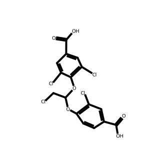 O=C(O)c1ccc(OC(CCl)Oc2c(Cl)cc(C(=O)O)cc2Cl)c(Cl)c1